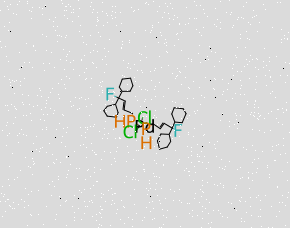 FC(C=CC[PH][Pd]([Cl])([Cl])[PH]CC=CC(F)(C1CCCCC1)C1CCCCC1)(C1CCCCC1)C1CCCCC1